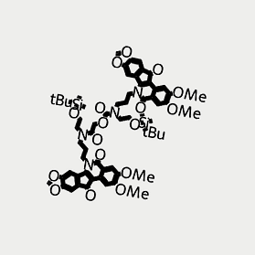 COc1cc2c3c(n(CCCN(CCO[Si](C)(C)C(C)(C)C)C(=O)COC(=O)N(CCCn4c5c(c6cc(OC)c(OC)cc6c4=O)C(=O)c4cc6c(cc4-5)OCO6)CCO[Si](C)(C)C(C)(C)C)c(=O)c2cc1OC)-c1cc2c(cc1C3=O)OCO2